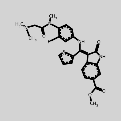 COC(=O)c1ccc2c(c1)NC(=O)/C2=C(\Nc1ccc(N(C)C(=O)CN(C)C)c(F)c1)c1cccs1